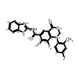 Cc1cc(I)ccc1N1COC(=O)c2cc(C(=O)Nc3nc4ccccc4s3)c(F)c(F)c21